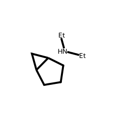 C1CC2CC2C1.CCNCC